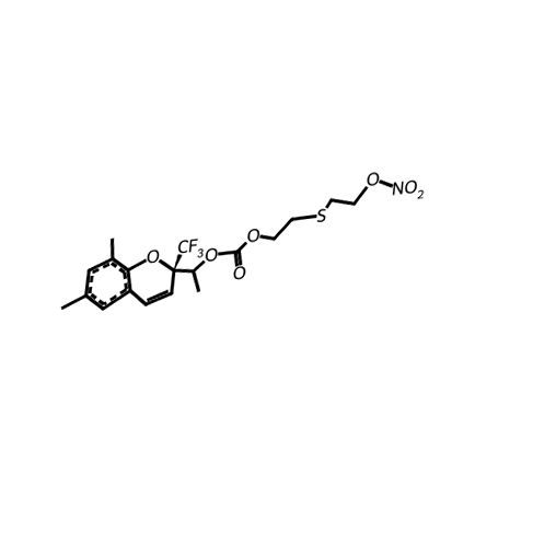 Cc1cc(C)c2c(c1)C=C[C@](C(C)OC(=O)OCCSCCO[N+](=O)[O-])(C(F)(F)F)O2